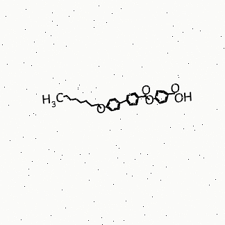 CCCCCCCCOc1ccc(-c2ccc(C(=O)Oc3ccc(C(=O)O)cc3)cc2)cc1